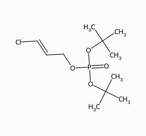 CC(C)(C)OP(=O)(OCC=CCl)OC(C)(C)C